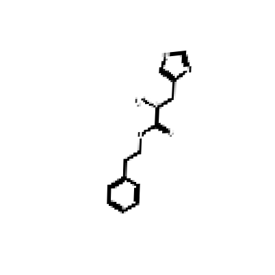 N[C@@H](Cc1c[nH]cn1)C(=O)OCCc1ccccc1